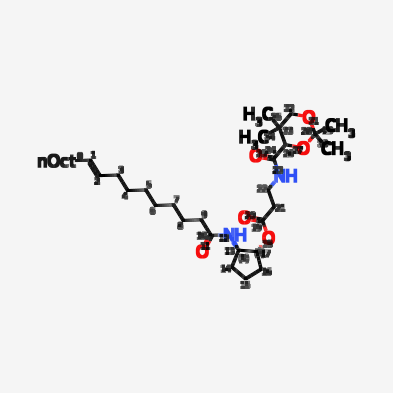 CCCCCCCCC=CCCCCCCCC(=O)N[C@@H]1CCC[C@H]1OC(=O)CCNC(=O)C1OC(C)(C)OCC1(C)C